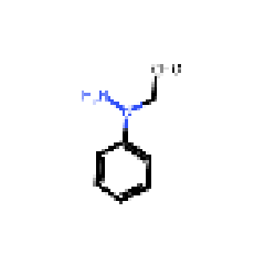 NN(CC=O)c1ccccc1